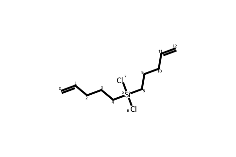 C=CCCC[Si](Cl)(Cl)CCCC=C